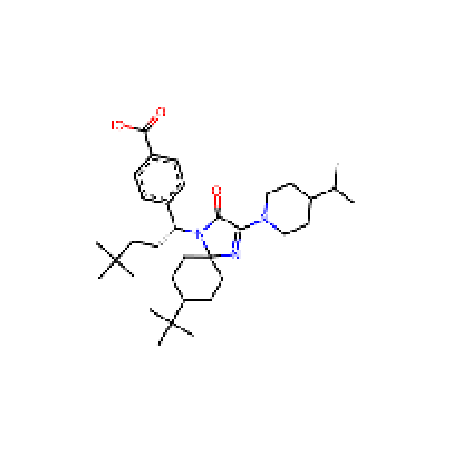 CC(C)C1CCN(C2=NC3(CCC(C(C)(C)C)CC3)N([C@H](CCC(C)(C)C)c3ccc(C(=O)O)cc3)C2=O)CC1